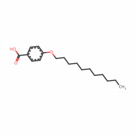 CCCCCCCCCCCOc1ccc(C(=O)O)cc1